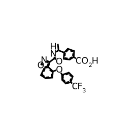 CC(NC(=O)c1noc2cccc(Oc3ccc(C(F)(F)F)cc3)c12)c1ccc(C(=O)O)cc1